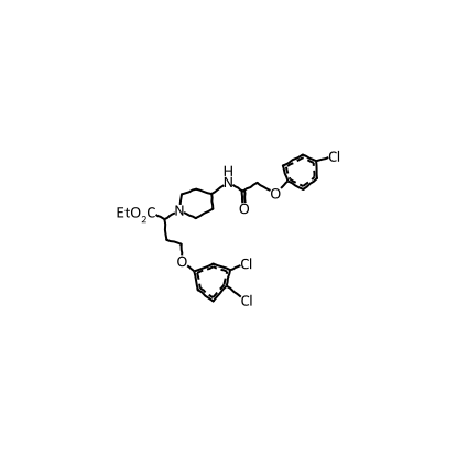 CCOC(=O)C(CCOc1ccc(Cl)c(Cl)c1)N1CCC(NC(=O)COc2ccc(Cl)cc2)CC1